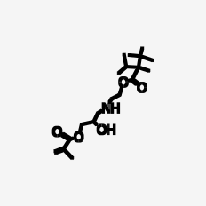 C=C(C)C(=O)OCC(O)CNCCOC(=O)C(C)(C(C)C)C(C)(C)C